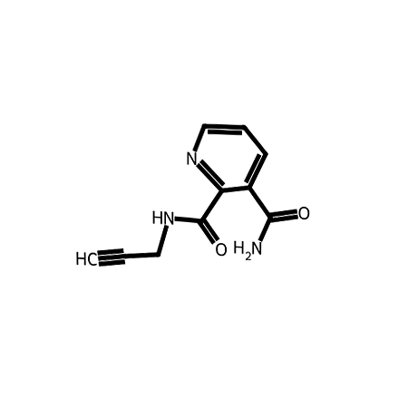 C#CCNC(=O)c1ncccc1C(N)=O